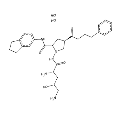 Cl.Cl.NCC(O)C[C@H](N)C(=O)NN1C[C@H](C(=O)CCCc2ccccc2)C[C@H]1C(=O)Nc1ccc2c(c1)CCC2